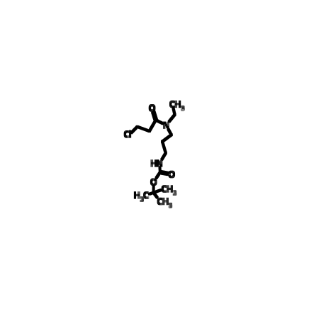 CCN(CCCNC(=O)OC(C)(C)C)C(=O)CCCl